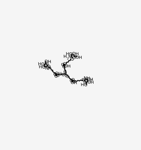 NC1C(O)[C@@H](O)C(CO)O[C@H]1OCCCCCCOP(=O)(O)OCCCOCC(I)(COCCCOP(=O)(O)OCCCCCCO[C@@H]1OC(CO)[C@H](O)C(O)[C@@H]1N)COCCCOP(=O)(O)OCCCCCCO[C@@H]1OC(CO)[C@H](O)C(O)[C@@H]1N